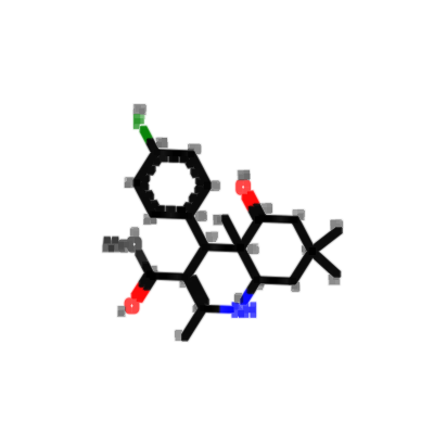 COC(=O)C1=C(C)NC2CC(C)(C)CC(=O)C2(C)C1c1ccc(F)cc1